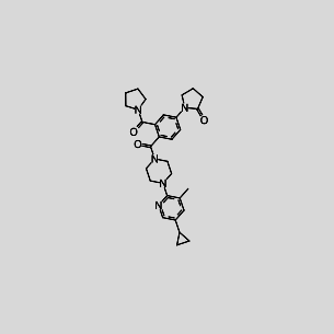 Cc1cc(C2CC2)cnc1N1CCN(C(=O)c2ccc(N3CCCC3=O)cc2C(=O)N2CCCC2)CC1